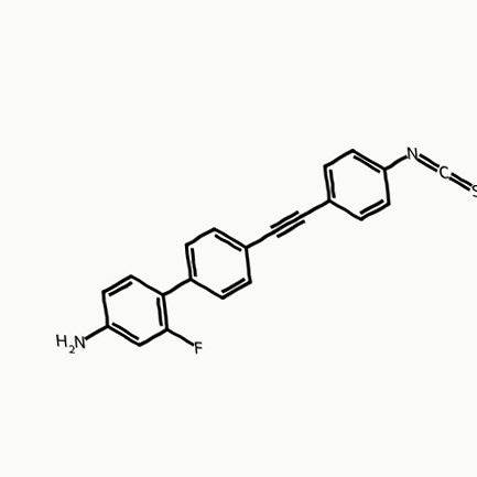 Nc1ccc(-c2ccc(C#Cc3ccc(N=C=S)cc3)cc2)c(F)c1